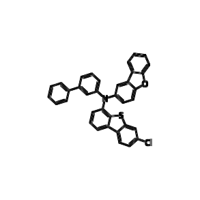 Clc1ccc2c(c1)sc1c(N(c3cccc(-c4ccccc4)c3)c3ccc4oc5ccccc5c4c3)cccc12